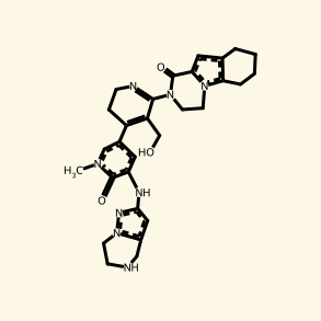 Cn1cc(C2=C(CO)C(N3CCn4c(cc5c4CCCC5)C3=O)=NCC2)cc(Nc2cc3n(n2)CCNC3)c1=O